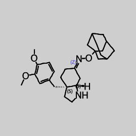 COc1ccc(C[C@@]23CCN[C@H]2C/C(=N\OC24CC5CC(CC(C5)C2)C4)CC3)cc1OC